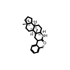 C[C@@]12CCC[C@H]1[C@@H]1CC[C@H]3NC(=O)C(c4ccccc4F)C[C@]3(C)[C@H]1CC2